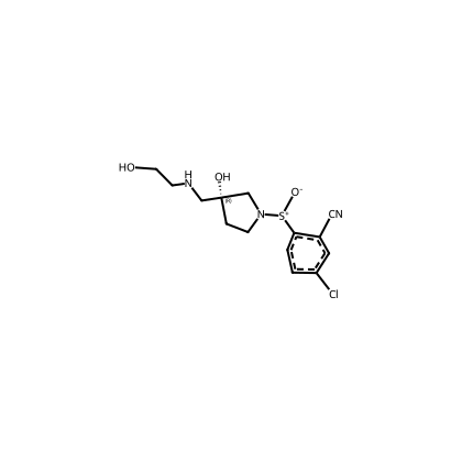 N#Cc1cc(Cl)ccc1[S+]([O-])N1CC[C@@](O)(CNCCO)C1